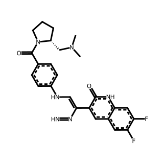 CN(C)C[C@H]1CCCN1C(=O)c1ccc(N/C=C(\N=N)c2cc3cc(F)c(F)cc3[nH]c2=O)cc1